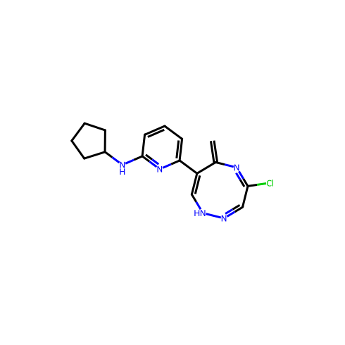 C=C1/N=C(Cl)\C=N/N/C=C\1c1cccc(NC2CCCC2)n1